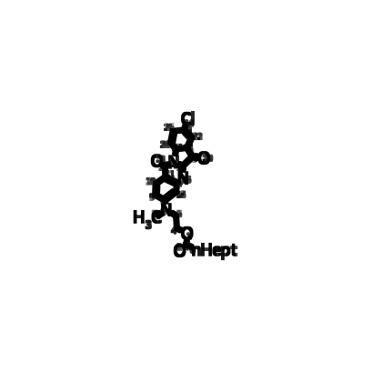 CCCCCCCC(=O)OCCN(C)c1ccc2c(=O)n3c(nc2c1)C(=O)C1C=C(Cl)C=CC13